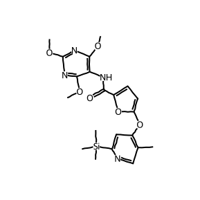 COc1nc(OC)c(NC(=O)c2ccc(Oc3cc([Si](C)(C)C)ncc3C)o2)c(OC)n1